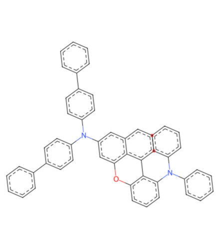 c1ccc(-c2ccc(N(c3ccc(-c4ccccc4)cc3)c3cc4c5c(cccc5c3)-c3c(cccc3N(c3ccccc3)c3ccccc3)O4)cc2)cc1